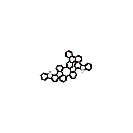 c1ccc2c(c1)-c1cccc(-c3cccc4c3sc3ccccc34)c1-c1cc3c4ccccc4c4ccccc4c3cc1-c1cccc(-c3cccc4c3sc3ccccc34)c1-2